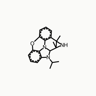 CC(C)N1c2cccc3c2N2c4c(cccc4C4(C)NC4(C)C21)O3